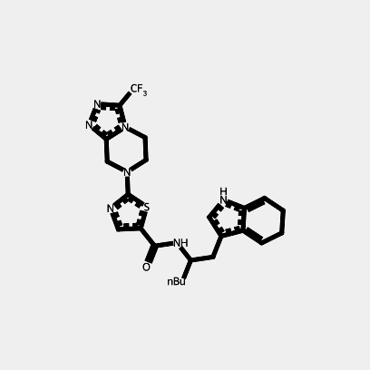 CCCCC(Cc1c[nH]c2c1=CCCC=2)NC(=O)c1cnc(N2CCn3c(nnc3C(F)(F)F)C2)s1